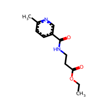 CCOC(=O)CCNC(=O)c1ccc(C)nc1